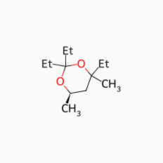 CCC1(C)C[C@@H](C)OC(CC)(CC)O1